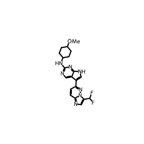 COC1CCC(Nc2ncc3c(-c4ccc5ncc(C(F)F)n5n4)c[nH]c3n2)CC1